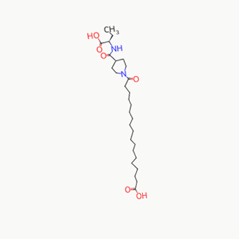 CC[C@@H](NC(=O)C1CCN(C(=O)CCCCCCCCCCCCCCCCC(=O)O)CC1)C(=O)O